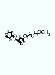 COCCOCCOc1cncc(COC2CCOCC2)c1